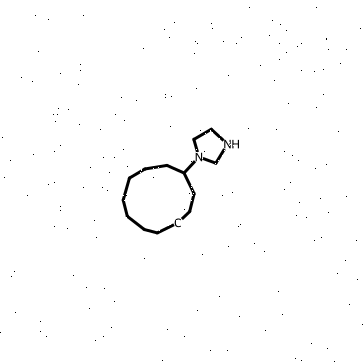 C1CCCCCC(N2CCNC2)CCCC1